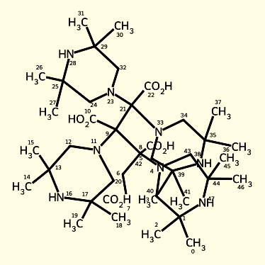 CC1(C)CN(C(CC(=O)O)(C(=O)O)C(C(=O)O)(N2CC(C)(C)NC(C)(C)C2)C(C(=O)O)(N2CC(C)(C)NC(C)(C)C2)N2CC(C)(C)NC(C)(C)C2)CC(C)(C)N1